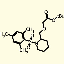 Cc1cc(C)c(S(=O)(=O)N2CCCCC2COCC(=O)OC(C)(C)C)c(C)c1